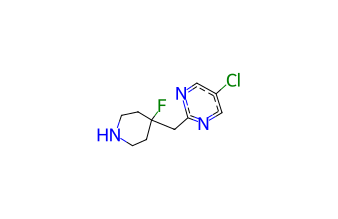 FC1(Cc2ncc(Cl)cn2)CCNCC1